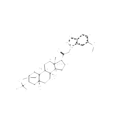 COC[C@]12CC[C@H](C(F)(F)F)C[C@H]1CC[C@H]1[C@@H]3CC[C@H](C(=O)Cn4nnc5ccc(OC)cc54)[C@@]3(C)CC[C@@H]12